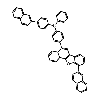 C1=CC2C(c3ccc(N(c4ccccc4)c4ccc(-c5ccc6ccccc6c5)cc4)cc3)=Cc3c(oc4c(-c5ccc6ccccc6c5)cccc34)C2C=C1